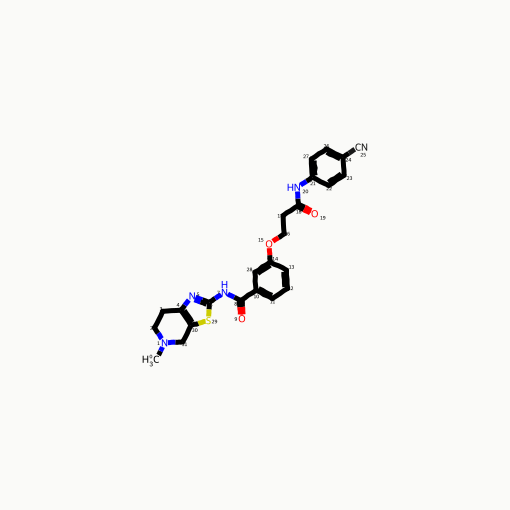 CN1CCc2nc(NC(=O)c3cccc(OCCC(=O)Nc4ccc(C#N)cc4)c3)sc2C1